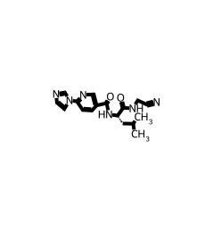 CC(C)C[C@H](NC(=O)c1ccc(-n2ccnc2)nc1)C(=O)NCC#N